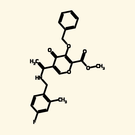 C=C(NCc1ccc(F)cc1C)c1coc(C(=O)OC)c(OCc2ccccc2)c1=O